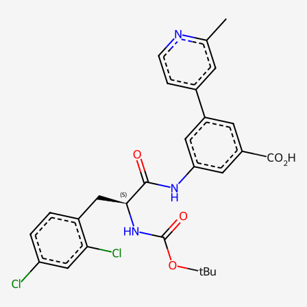 Cc1cc(-c2cc(NC(=O)[C@H](Cc3ccc(Cl)cc3Cl)NC(=O)OC(C)(C)C)cc(C(=O)O)c2)ccn1